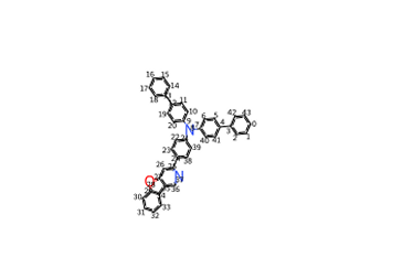 c1ccc(-c2ccc(N(c3ccc(-c4ccccc4)cc3)c3ccc(-c4cc5oc6ccccc6c5cn4)cc3)cc2)cc1